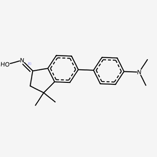 CN(C)c1ccc(-c2ccc3c(c2)C(C)(C)C/C3=N\O)cc1